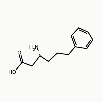 N[C@H](CCCc1ccccc1)CC(=O)O